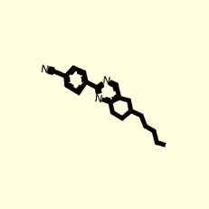 CCCCCC1CCc2nc(-c3ccc(C#N)cc3)ncc2C1